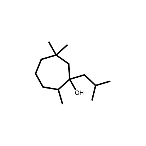 CC(C)CC1(O)CC(C)(C)CCCC1C